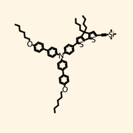 CCCCCCOc1ccc(-c2ccc(N(c3ccc(-c4ccc(OCCCCCC)cc4)cc3)c3ccc(-c4cc5c(s4)-c4sc(C#C[Si](C)(C)C)cc4C5(CCCC)CCCC)cc3)cc2)cc1